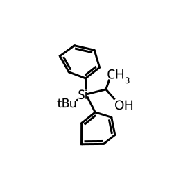 CC(O)[Si](c1ccccc1)(c1ccccc1)C(C)(C)C